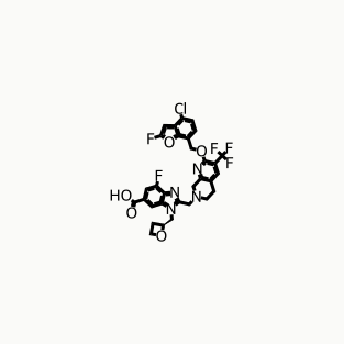 O=C(O)c1cc(F)c2nc(CN3CCc4cc(C(F)(F)F)c(OCc5ccc(Cl)c6cc(F)oc56)nc4C3)n(C[C@@H]3CCO3)c2c1